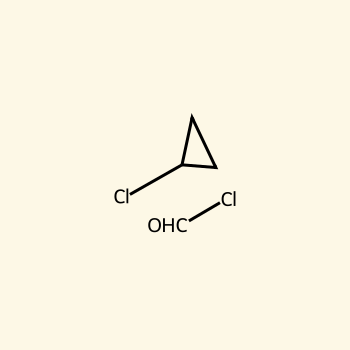 ClC1CC1.O=CCl